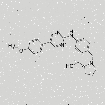 COc1ccc(-c2cnc(Nc3ccc(CN4CCCC4CO)cc3)nc2)cc1